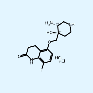 Cl.Cl.N[C@@H]1CNCC[C@]1(O)COc1ccc(F)c2c1CCC(=O)N2